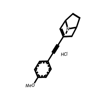 COc1ccc(C#CC2=CC3CCC(C2)N3C)cc1.Cl